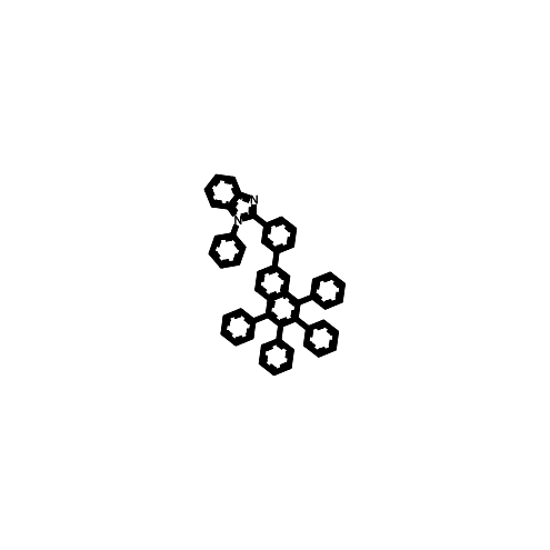 c1ccc(-c2c(-c3ccccc3)c(-c3ccccc3)c3cc(-c4cccc(-c5nc6ccccc6n5-c5ccccc5)c4)ccc3c2-c2ccccc2)cc1